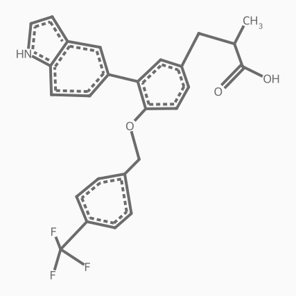 CC(Cc1ccc(OCc2ccc(C(F)(F)F)cc2)c(-c2ccc3[nH]ccc3c2)c1)C(=O)O